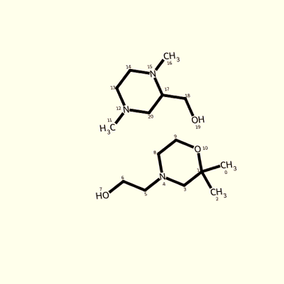 CC1(C)CN(CCO)CCO1.CN1CCN(C)C(CO)C1